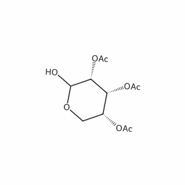 CC(=O)O[C@@H]1[C@H](OC(C)=O)COC(O)[C@@H]1OC(C)=O